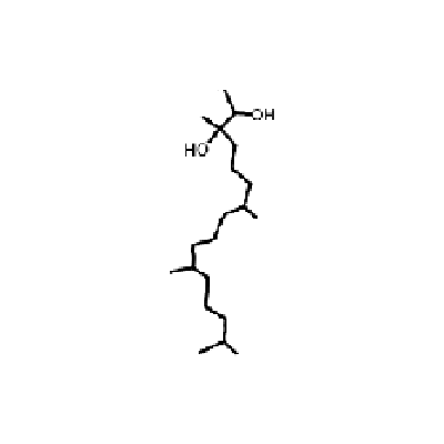 [CH2]C(O)C(C)(O)CCCC(C)CCCC(C)CCCC(C)C